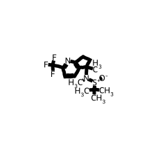 CN([S+]([O-])C(C)(C)C)C1(C)CCc2nc(C(F)(F)F)ccc21